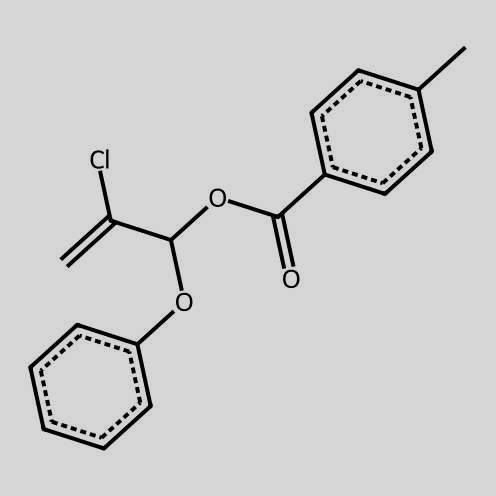 C=C(Cl)C(OC(=O)c1ccc(C)cc1)Oc1ccccc1